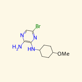 COC1CCC(Nc2nc(Br)cnc2N)CC1